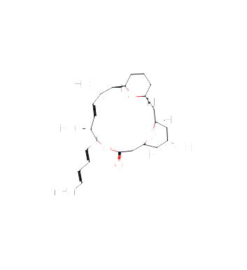 CCCCC=C/C=C/[C@@H]1OC(=O)C[C@@H]2C[C@H](O)C[C@H](C[C@@H]3CCC[C@H](C[C@@H](C)/C=C/[C@@H]1C)O3)O2